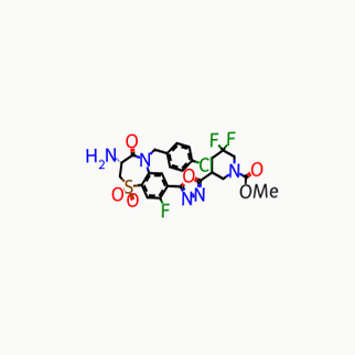 COC(=O)N1CC(c2nnc(-c3cc4c(cc3F)S(=O)(=O)C[C@H](N)C(=O)N4Cc3ccc(Cl)cc3)o2)CC(F)(F)C1